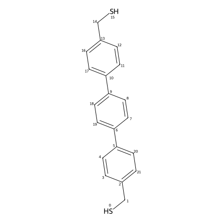 SCc1ccc(-c2ccc(-c3ccc(CS)cc3)cc2)cc1